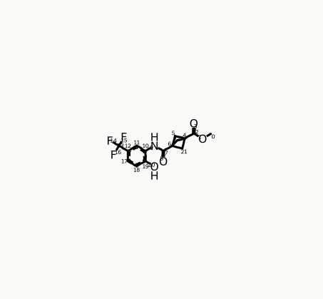 COC(=O)C12CC(C(=O)Nc3cc(C(F)(F)F)ccc3O)(C1)C2